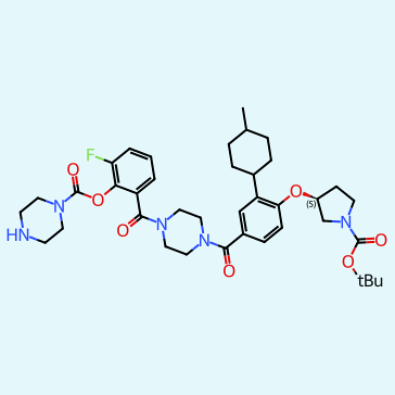 CC1CCC(c2cc(C(=O)N3CCN(C(=O)c4cccc(F)c4OC(=O)N4CCNCC4)CC3)ccc2O[C@H]2CCN(C(=O)OC(C)(C)C)C2)CC1